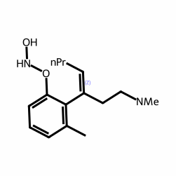 CCC/C=C(/CCNC)c1c(C)cccc1ONO